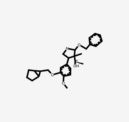 COc1ccc(C2C[N]C(OCc3ccccc3)C2(C)[C@@H](C)O)cc1OCC1C2CCCC21